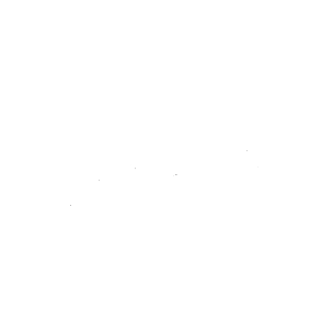 O=C(CC1COCCO1)N[C@H]1CC[C@H](CCN2CCN(c3noc4cc(F)c(Cl)cc34)CC2)CC1